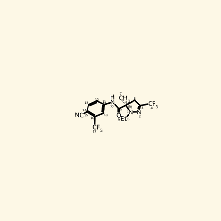 CCN1N=C(C(F)(F)F)C[C@]1(C)C(=O)Nc1ccc(C#N)c(C(F)(F)F)c1